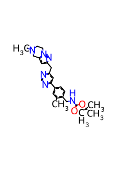 Cc1cc(-c2cc(Cc3cc4n(n3)CCN(C)C4)ncn2)ccc1CNC(=O)OC(C)(C)C